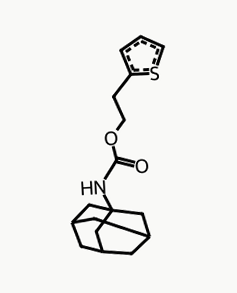 O=C(NC12CC3CC(CC(C3)C1)C2)OCCc1cccs1